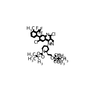 Cc1cccc(-c2c(Cl)cc3c(nc(Cl)c4cnn([C@H]5CCN(C(=O)OC(C)(C)C)[C@H](CCO[Si](C)(C)C(C)(C)C)C5)c43)c2F)c1C(F)(F)F